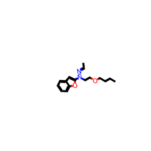 C/C=N/N(CCOCCCC)c1cc2ccccc2o1